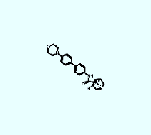 O=C(Nc1ccc(-c2ccc(N3CCOCC3)cc2)cc1)[C@H]1CN2CCC1CC2